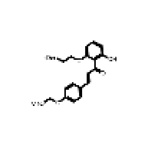 CCCCCCCCCCCCOc1cccc(O)c1C(=O)/C=C/c1ccc(OCOC)cc1